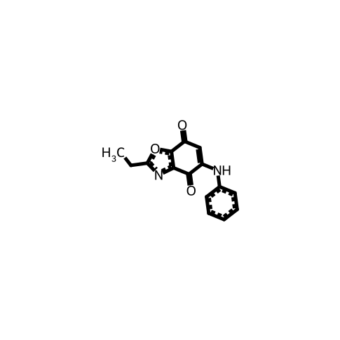 CCc1nc2c(o1)C(=O)C=C(Nc1ccccc1)C2=O